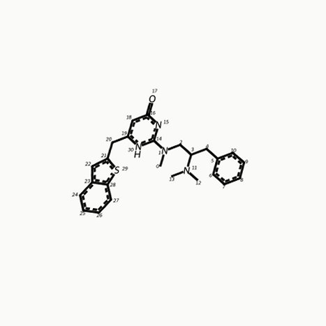 CN(CC(Cc1ccccc1)N(C)C)c1nc(=O)cc(Cc2cc3ccccc3s2)[nH]1